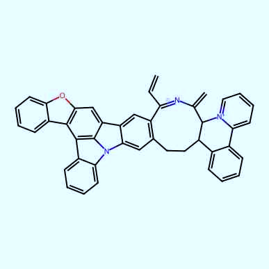 C=C/C1=N/C(=C)C2C(CCc3cc4c(cc31)c1cc3oc5ccccc5c3c3c5ccccc5n4c13)c1ccccc1-c1cccc[n+]12